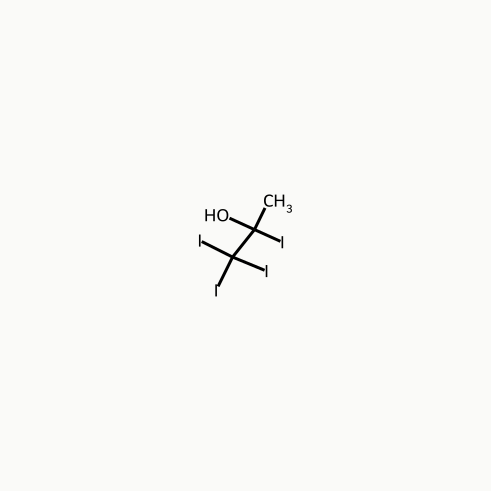 CC(O)(I)C(I)(I)I